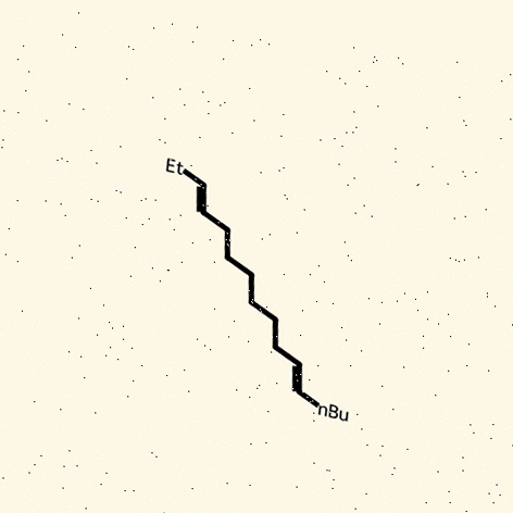 [CH2]CC=CCCCCCCC=CCCCC